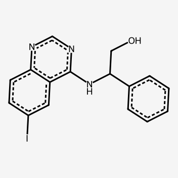 OCC(Nc1ncnc2ccc(I)cc12)c1ccccc1